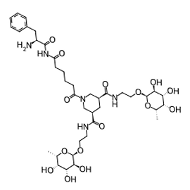 C[C@@H]1O[C@@H](OCCNC(=O)[C@@H]2C[C@H](C(=O)NCCO[C@@H]3O[C@@H](C)[C@@H](O)[C@@H](O)[C@@H]3O)CN(C(=O)CCCCC(=O)NC(=O)[C@@H](N)Cc3ccccc3)C2)[C@@H](O)[C@H](O)[C@@H]1O